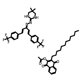 CC1(C)CNC(=NN=C(C=Cc2ccc(C(F)(F)F)cc2)C=Cc2ccc(C(F)(F)F)cc2)NC1.CCCCCCCCCCCCC1=C(OC(C)=O)C(=O)c2ccccc2C1=O